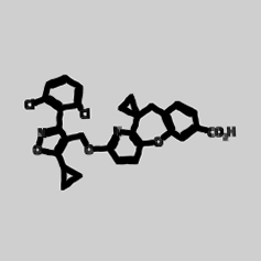 O=C(O)c1ccc2c(c1)Oc1ccc(OCc3c(-c4c(Cl)cccc4Cl)noc3C3CC3)nc1C1(CC1)C2